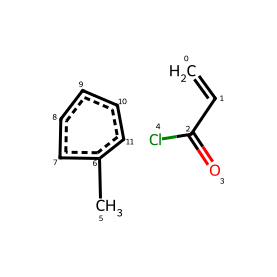 C=CC(=O)Cl.Cc1ccccc1